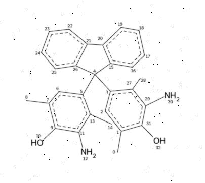 Cc1cc(C2(c3cc(C)c(O)c(N)c3C)c3ccccc3-c3ccccc32)c(C)c(N)c1O